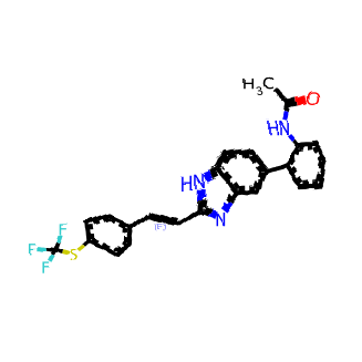 CC(=O)Nc1ccccc1-c1ccc2[nH]c(/C=C/c3ccc(SC(F)(F)F)cc3)nc2c1